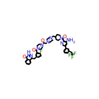 Nc1cc(-c2cccc(CC(F)(F)F)c2)cnc1C(=O)N1CCC(CN2CCN(CC(=O)N3CCN(C(=O)c4cc(Cc5n[nH]c(=O)c6ccccc56)ccc4F)CC3)CC2)CC1